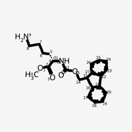 COC(=O)[C@H](CCCCN)NC(=O)OCC1c2ccccc2-c2ccccc21